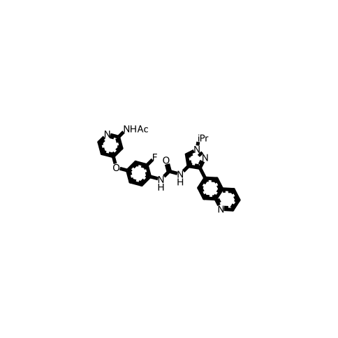 CC(=O)Nc1cc(Oc2ccc(NC(=O)Nc3cn(C(C)C)nc3-c3ccc4ncccc4c3)c(F)c2)ccn1